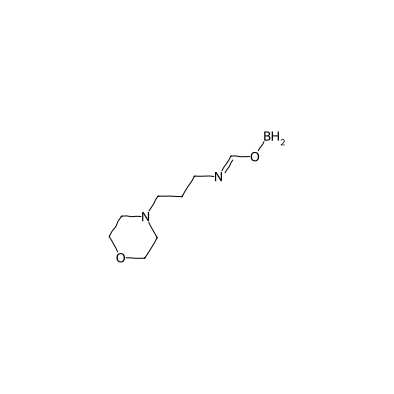 BOC=NCCCN1CCOCC1